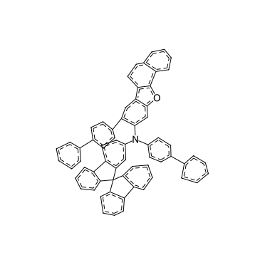 c1ccc(-c2ccc(-c3cc4c(cc3N(c3ccc(-c5ccccc5)cc3)c3ccc5c(c3)C3(c6ccccc6-c6ccccc63)c3ccccc3-5)oc3c5ccccc5ccc43)cc2)cc1